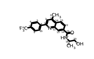 Cc1cc(-c2ccc(C(F)(F)F)cc2)nc2cc(C(=O)N[C@@H](C)CO)ccc12